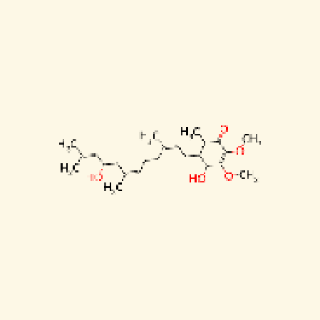 COC1=C(OC)C(O)C(CC=C(C)CCC=C(C)CC(O)C=C(C)C)C(C)C1=O